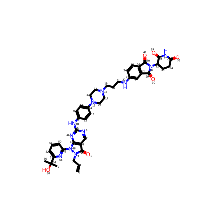 C=CCn1c(=O)c2cnc(Nc3ccc(N4CCN(CCCNc5ccc6c(c5)C(=O)N(C5CCC(=O)NC5=O)C6=O)CC4)cc3)nc2n1-c1cccc(C(C)(C)O)n1